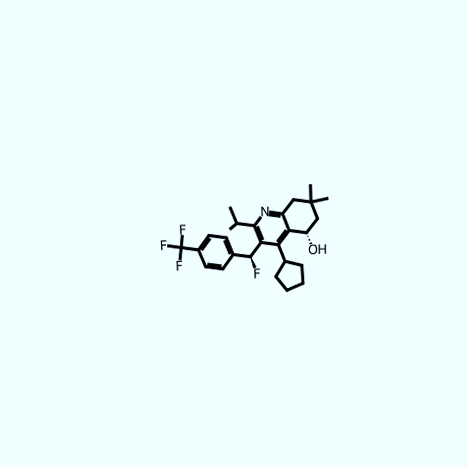 CC(C)c1nc2c(c(C3CCCC3)c1[C@@H](F)c1ccc(C(F)(F)F)cc1)[C@@H](O)CC(C)(C)C2